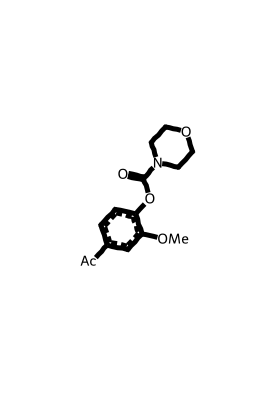 COc1cc(C(C)=O)ccc1OC(=O)N1CCOCC1